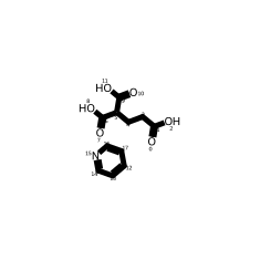 O=C(O)CCC(C(=O)O)C(=O)O.c1ccncc1